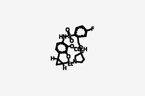 CCN1CC[C@H](OCc2cc(F)ccc2S(=O)(=O)Nc2ccc3c(c2OC(=O)O)OC[C@@H]2C[C@H]32)C1